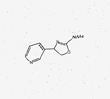 CNC1=NC(c2cccnc2)CO1